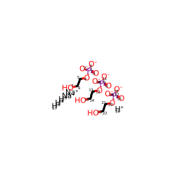 O=P([O-])([O-])OCCO.O=P([O-])([O-])OCCO.O=P([O-])([O-])OCCO.[H+].[H+].[H+].[H+].[Na+].[Na+]